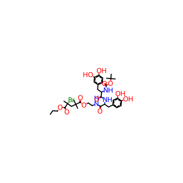 CCCOC(=O)C(C)(Br)CC(C)(C)C(=O)OCCNC(=O)C(Cc1ccc(O)c(O)c1)NC(=O)C(Cc1ccc(O)c(O)c1)NC(=O)OC(C)(C)C